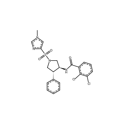 Cn1cnc(S(=O)(=O)N2C[C@@H](NC(=O)c3cccc(Cl)c3Cl)[C@H](c3ccccc3)C2)c1